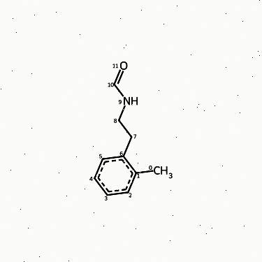 Cc1ccccc1CCNC=O